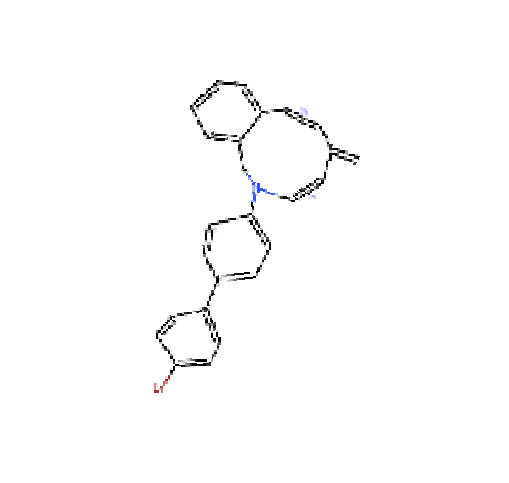 C=C1/C=C\c2ccccc2CN(c2ccc(-c3ccc(Br)cc3)cc2)/C=C\1